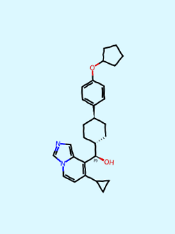 O[C@@H](c1c(C2CC2)ccn2cncc12)[C@H]1CC[C@H](c2ccc(OC3CCCC3)cc2)CC1